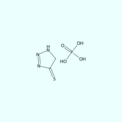 O=P(O)(O)O.S=C1CNN=N1